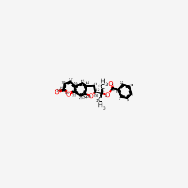 CC(C)(OC(=O)c1ccccc1)[C@@H]1Cc2cc3ccc(=O)oc3cc2O1